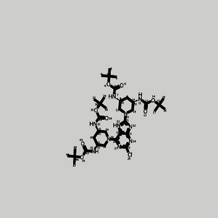 CC(C)(C)OC(=O)N[C@@H]1C[C@H](NC(=O)OC(C)(C)C)CN(c2nc3nc(Cl)nc(N4C[C@H](NC(=O)OC(C)(C)C)C[C@H](NC(=O)OC(C)(C)C)C4)c3[nH]2)C1